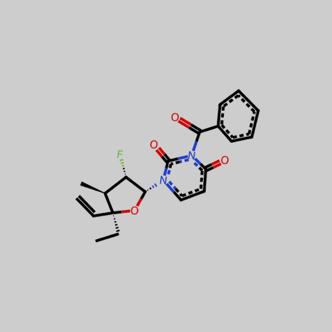 C=C[C@]1(CC)O[C@@H](n2ccc(=O)n(C(=O)c3ccccc3)c2=O)[C@@H](F)[C@@H]1C